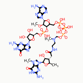 CO[C@@H]1[C@H](OP(=O)(O)OC[C@H]2O[C@@H](n3cnc4c(=O)[nH]c(N)nc43)[C@H](O)[C@@H]2O)C(COP(=O)(O)OP(=O)(O)OP(=O)(O)OCN(C)CCNC(=O)C[C@@H]2[C@@H](C)OC(n3c[n+](C)c4c(=O)[nH]c(N)nc43)[C@@H]2O)O[C@H]1n1cnc2c(N)ncnc21